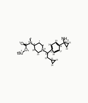 CN(C(=O)OC(C)(C)C)C1CCN(C(CC2CC2)c2ccc(C3(N)CC3)cc2)CC1